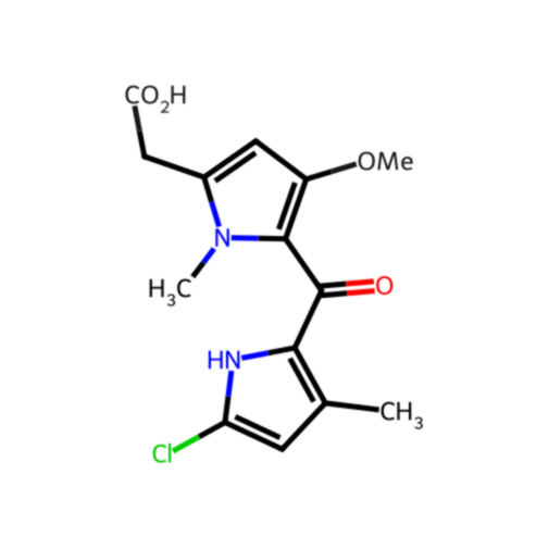 COc1cc(CC(=O)O)n(C)c1C(=O)c1[nH]c(Cl)cc1C